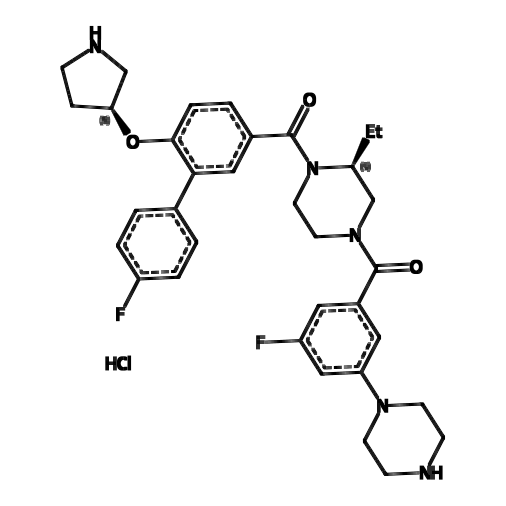 CC[C@H]1CN(C(=O)c2cc(F)cc(N3CCNCC3)c2)CCN1C(=O)c1ccc(O[C@H]2CCNC2)c(-c2ccc(F)cc2)c1.Cl